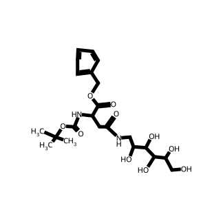 CC(C)(C)OC(=O)NC(CC(=O)NCC(O)C(O)C(O)C(O)CO)C(=O)OCc1ccccc1